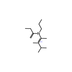 C=C(CC)N(CCC)/C(C)=C(\C)C(C)C